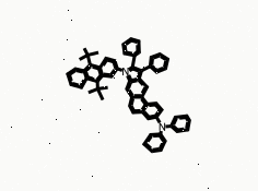 CC(C)(C)c1c2ccccc2c(C(C)(C)C)c2cc(-n3c(-c4ccccc4)c(-c4ccccc4)c4cc5c(ccc6cc(N(c7ccccc7)c7ccccc7)ccc65)cc43)ccc12